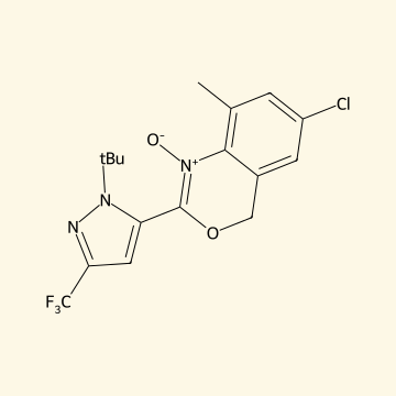 Cc1cc(Cl)cc2c1[N+]([O-])=C(c1cc(C(F)(F)F)nn1C(C)(C)C)OC2